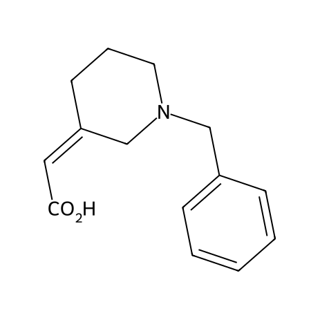 O=C(O)/C=C1/CCCN(Cc2ccccc2)C1